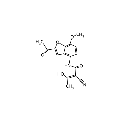 COc1ccc(NC(=O)C(C#N)=C(C)O)c2cc(C(C)=O)oc12